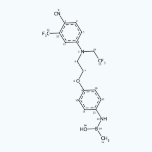 [C-]#[N+]c1ccc(N(CCOc2ccc(NB(C)O)cc2)CC(F)(F)F)cc1C(F)(F)F